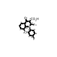 Cc1cccc2c(=O)c(C(=O)O)c(F)n(-c3ccc(F)cc3)c12